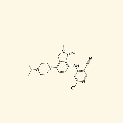 CC(C)N1CCN(c2ccc(Nc3cc(Cl)ncc3C#N)c3c2CN(C)C3=O)CC1